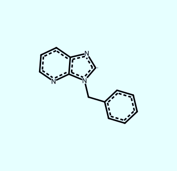 [c]1nc2cccnc2n1Cc1ccccc1